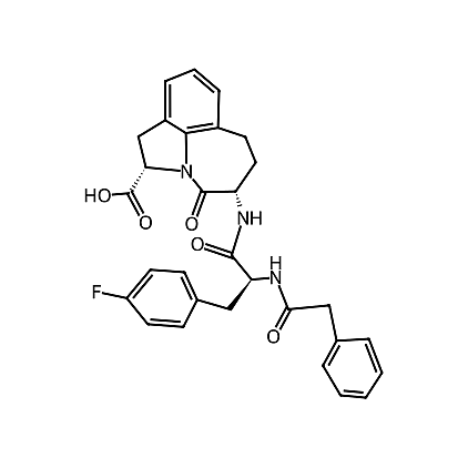 O=C(Cc1ccccc1)N[C@@H](Cc1ccc(F)cc1)C(=O)N[C@H]1CCc2cccc3c2N(C1=O)[C@H](C(=O)O)C3